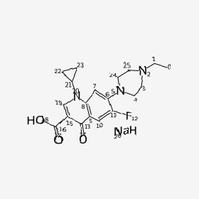 CCN1CCN(c2cc3c(cc2F)c(=O)c(C(=O)O)cn3C2CC2)CC1.[NaH]